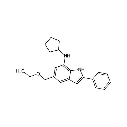 CCOCc1cc(NC2CCCC2)c2[nH]c(-c3ccccc3)cc2c1